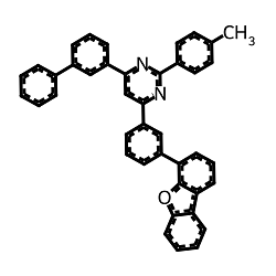 Cc1ccc(-c2nc(-c3cccc(-c4ccccc4)c3)cc(-c3cccc(-c4cccc5c4oc4ccccc45)c3)n2)cc1